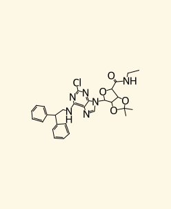 CCNC(=O)C1OC(n2cnc3c(NCC(c4ccccc4)c4ccccc4)nc(Cl)nc32)C2OC(C)(C)OC12